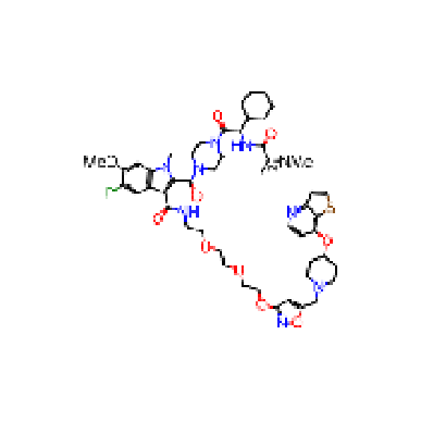 CN[C@@H](C)C(=O)NC(C(=O)N1CCN(C(=O)c2c(C(=O)NCCOCCOCCOc3cc(CN4CCC(Oc5ccnc6ccsc56)CC4)on3)c3cc(F)c(OC)cc3n2C)CC1)C1CCCCC1